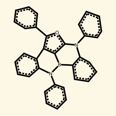 c1ccc(-c2oc3c4c2-c2ccccc2N(c2ccccc2)B4c2ccccc2N3c2ccccc2)cc1